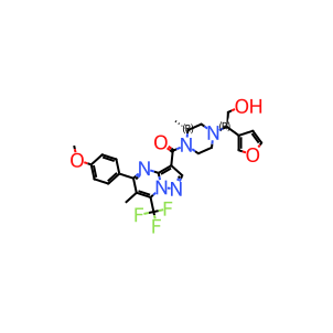 COc1ccc(-c2nc3c(C(=O)N4CCN([C@@H](CO)c5ccoc5)C[C@H]4C)cnn3c(C(F)(F)F)c2C)cc1